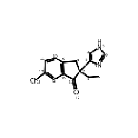 CCC1(c2c[nH]cn2)Cc2ccc(Cl)cc2C1=O